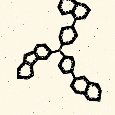 c1ccc2cc(-c3ccc(N(c4ccc(-c5cccc6ccccc56)cc4)c4ccc5sc6ccccc6c5c4)cc3)ccc2c1